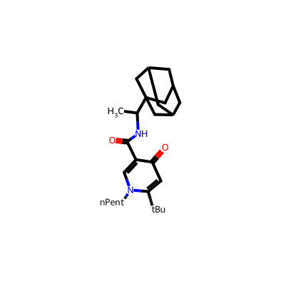 CCCCCn1cc(C(=O)NC(C)C23CC4CC(CC(C4)C2)C3)c(=O)cc1C(C)(C)C